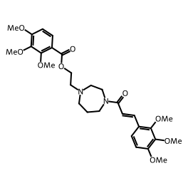 COc1ccc(C=CC(=O)N2CCCN(CCOC(=O)c3ccc(OC)c(OC)c3OC)CC2)c(OC)c1OC